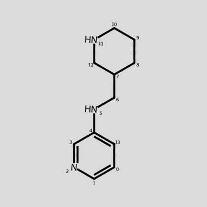 c1cncc(NCC2CCCNC2)c1